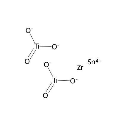 [O]=[Ti]([O-])[O-].[O]=[Ti]([O-])[O-].[Sn+4].[Zr]